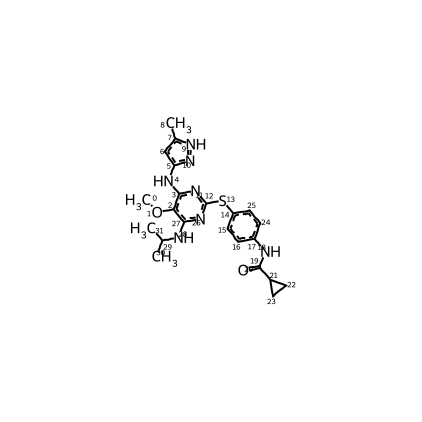 COc1c(Nc2cc(C)[nH]n2)nc(Sc2ccc(NC(=O)C3CC3)cc2)nc1NC(C)C